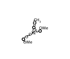 COc1cccc(COCCOCc2csc(N(Cc3cccc(OC)c3)Cc3cccc(N4CCN(C)CC4)c3)n2)c1